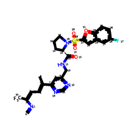 C=N/C(=C\C=C(/C)c1cc(CNC(=O)[C@@H]2CCCN2S(=O)(=O)c2cc3cc(F)ccc3o2)ncn1)C(F)(F)F